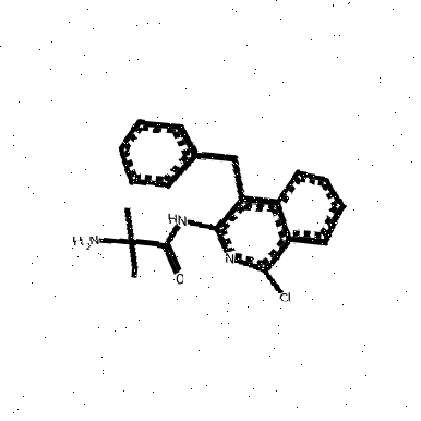 CC(C)(N)C(=O)Nc1nc(Cl)c2ccccc2c1Cc1ccccc1